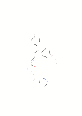 COc1ccc(C(=C/C=C/C(=O)N[C@H](C)CCc2cccnc2)c2ccc(OC)cc2)cc1